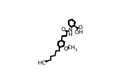 C#CCCCCCc1ccc(/C=C/C(=O)Nc2ccccc2C(=O)O)cc1OC